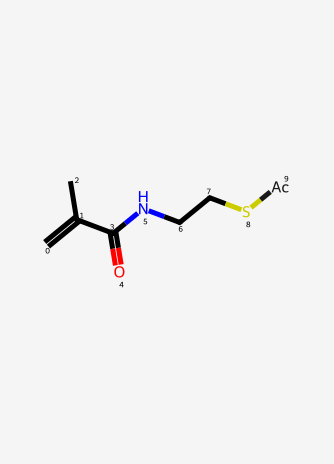 C=C(C)C(=O)NCCSC(C)=O